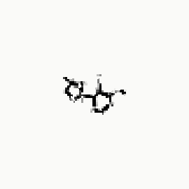 COc1ncnc(-n2ncc(C)n2)c1F